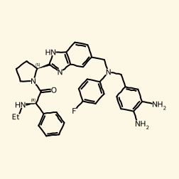 CCN[C@@H](C(=O)N1CCC[C@H]1c1nc2cc(CN(Cc3ccc(N)c(N)c3)c3ccc(F)cc3)ccc2[nH]1)c1ccccc1